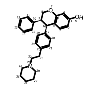 Oc1ccc2c(c1)OC[C@H](c1ccccc1)[C@@H]2c1ccc(CCN2CCCCC2)cc1